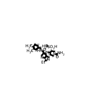 CCn1ncc2c(NC3CCN(C(N)=O)CC3)c(C(=O)NCc3ccc(C)c(C)c3)cnc21.O=S(=O)(O)O